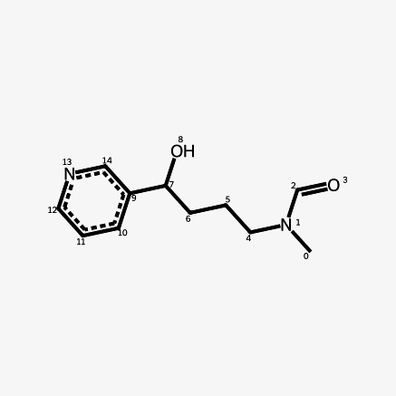 CN(C=O)CCCC(O)c1cccnc1